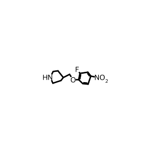 O=[N+]([O-])c1ccc(OCC2CCNCC2)c(F)c1